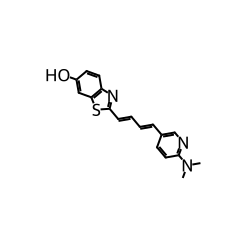 CN(C)c1ccc(/C=C/C=C/c2nc3ccc(O)cc3s2)cn1